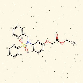 CCOC(=O)COc1cccc(N(Cc2ccccc2)S(=O)(=O)c2ccccc2)c1